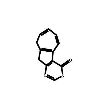 O=c1scnc2c1C1=C(CC=CC=C1)C2